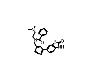 CN(C)CCN(Cc1cccc(-c2ccc3[nH]c(=O)sc3c2)c1)C(=O)c1ccccc1